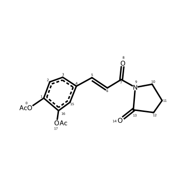 CC(=O)Oc1ccc(C=CC(=O)N2CCCC2=O)cc1OC(C)=O